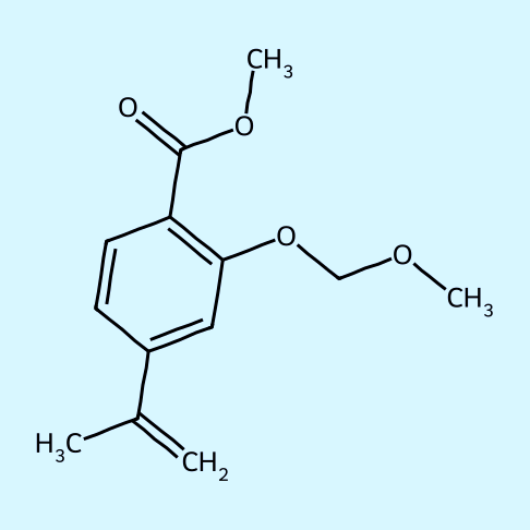 C=C(C)c1ccc(C(=O)OC)c(OCOC)c1